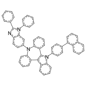 c1ccc(-c2nc3ccc(N4c5ccccc5-c5c(n(-c6ccc(-c7cccc8ccccc78)cc6)c6ccccc56)-c5ccccc54)cc3n2-c2ccccc2)cc1